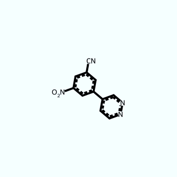 N#Cc1cc(-c2ccnnc2)cc([N+](=O)[O-])c1